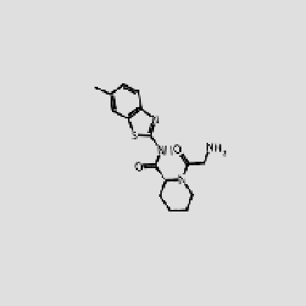 Cc1ccc2nc(NC(=O)[C@@H]3CCCCN3C(=O)CN)sc2c1